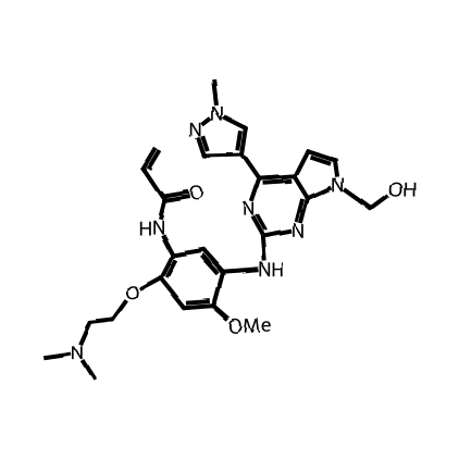 C=CC(=O)Nc1cc(Nc2nc(-c3cnn(C)c3)c3ccn(CO)c3n2)c(OC)cc1OCCN(C)C